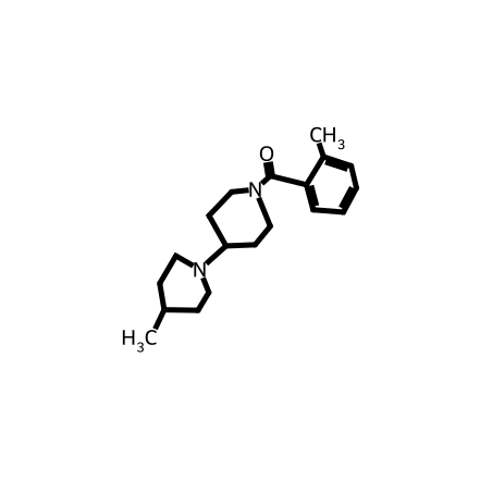 Cc1ccccc1C(=O)N1CCC(N2CCC(C)CC2)CC1